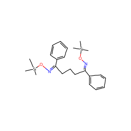 C[Si](C)(C)O/N=C(/CCC/C(=N\O[Si](C)(C)C)c1ccccc1)c1ccccc1